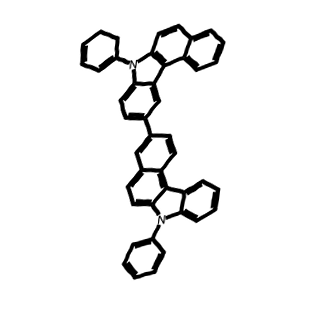 C1=CCCC(n2c3ccc(-c4ccc5c(ccc6c5c5ccccc5n6-c5ccccc5)c4)cc3c3c4ccccc4ccc32)=C1